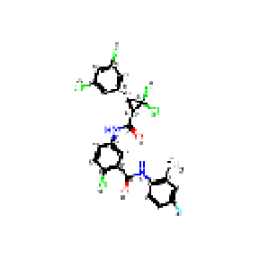 Cc1cc(F)ccc1NC(=O)c1cc(NC(=O)[C@H]2[C@H](c3cc(Cl)cc(Cl)c3)C2(Cl)Cl)ccc1Cl